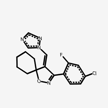 Fc1cc(Cl)ccc1C1=NOC2(CCCCC2)C1=Cn1cncn1